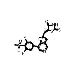 CS(=O)(=O)c1c(F)cc(-c2cncc3cc(/C=C4\SC(=S)NC4=O)oc23)cc1F